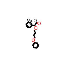 COC(=O)C(OCCCCOc1ccccc1)c1ccccc1